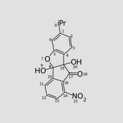 CC(C)c1ccc2c(c1)OC1(O)c3cccc([N+](=O)[O-])c3C(=O)C21O